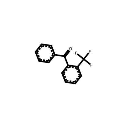 O=C(c1[c]cccc1)c1ccccc1C(F)(F)F